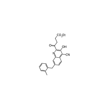 CCOC(=O)CCC(=O)c1nc2cc(Cc3ccccc3C)ccc2c(C#N)c1O